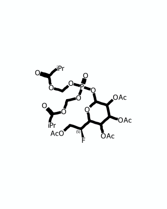 CC(=O)OC[C@H](F)C1OC(OP(=O)(OCOC(=O)C(C)C)OCOC(=O)C(C)C)C(OC(C)=O)C(OC(C)=O)C1OC(C)=O